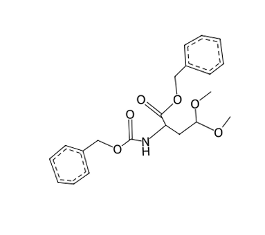 COC(CC(NC(=O)OCc1ccccc1)C(=O)OCc1ccccc1)OC